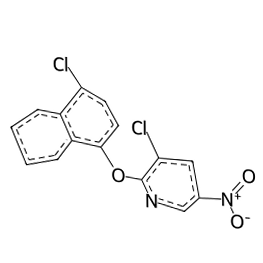 O=[N+]([O-])c1cnc(Oc2ccc(Cl)c3ccccc23)c(Cl)c1